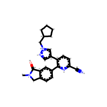 CN1Cc2ccc(-c3nc(C#N)ccc3-c3cnn(CC4CCCC4)c3)cc2C1=O